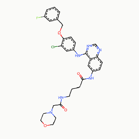 O=C(CN1CCOCC1)NCCCC(=O)Nc1ccc2ncnc(Nc3ccc(OCc4cccc(F)c4)c(Cl)c3)c2c1